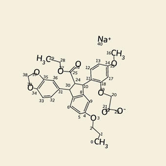 CCCOc1ccc2c(c1)C(c1ccc(OC)cc1OCC(=O)[O-])C(C(=O)OCC)C2c1ccc2c(c1)OCO2.[Na+]